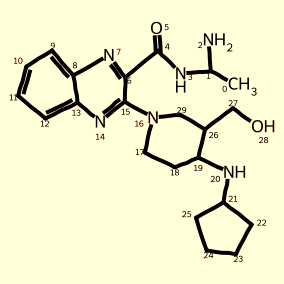 CC(N)NC(=O)c1nc2ccccc2nc1N1CCC(NC2CCCC2)C(CO)C1